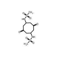 CS(=O)(=O)NC1CC(=O)CC(NS(C)(=O)=O)CC(=O)C1